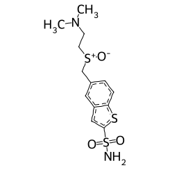 CN(C)CC[S+]([O-])Cc1ccc2sc(S(N)(=O)=O)cc2c1